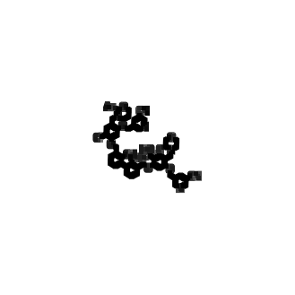 CC(=O)[C@H]1OCCCN1Cc1cc(Cl)c(OCc2cccc(-c3cccc(COc4cc(OCc5cncc(C#N)c5)c(CN5CCOC[C@@H]5C(=O)O)cc4Cl)c3C)c2C)cc1OCc1cncc(C#N)c1